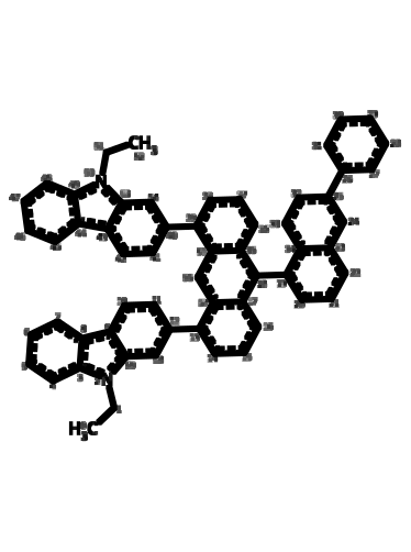 CCn1c2ccccc2c2ccc(-c3cccc4c(-c5cccc6cc(-c7ccccc7)ccc56)c5cccc(-c6ccc7c8ccccc8n(CC)c7c6)c5cc34)cc21